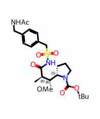 CO[C@H]([C@@H](C)C(=O)NS(=O)(=O)Cc1ccc(CNC(C)=O)cc1)[C@@H]1CCCN1C(=O)OC(C)(C)C